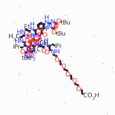 CC[C@H](NC(=O)[C@H](C)NC(=O)[C@H](CC(C)C)NC(=O)[C@H](CC(=O)OC(C)(C)C)NC(=O)CNC(=O)c1cccc(N/C(=N/C(=O)OC(C)(C)C)NC(=O)OC(C)(C)C)c1)C(=O)N[C@@H](CC(C)C)C(=O)N[C@@H](CCCNC(N)=O)C(=O)NC(C)(C)C(=O)N[C@@H](CC(C)C)C(=O)NCCOCCOCCOCCOCCOCCC(=O)O